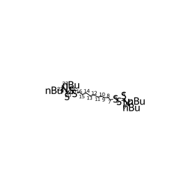 CCCCN(CCCC)C(=S)SSCCCCCCCCCCSSC(=S)N(CCCC)CCCC